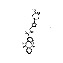 O=C1CCN(c2ncc(CNC(=O)c3ccc4c(c3)NC(=O)c3ccccc3S4(=O)=O)s2)CCN1